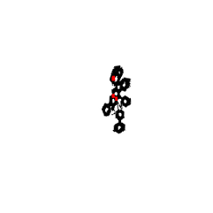 c1ccc(-c2ccc(N(c3ccccc3-c3cccc4c3-c3ccccc3C43C4CC5CC(C4)CC3C5)c3cccc4c3sc3ccccc34)cc2)cc1